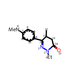 CCN1N=C(c2ccc(NC)cc2)C(C)CC1=O